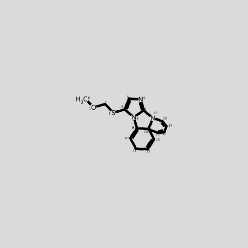 COCSc1cnc2n1C1=CCC=CC13C=CC=CN23